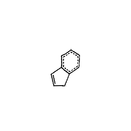 [c]1ccc2c(c1)C=C[CH]2